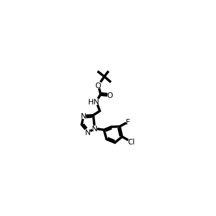 CC(C)(C)OC(=O)NCc1ncnn1-c1ccc(Cl)c(F)c1